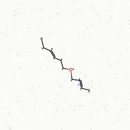 C/C=C/COCCC=CCC